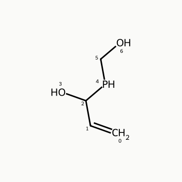 C=CC(O)PCO